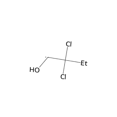 CCC(Cl)(Cl)[CH]O